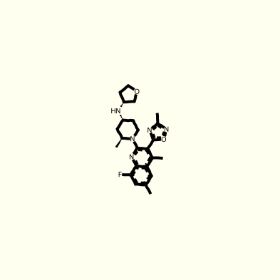 Cc1cc(F)c2nc(N3CC[C@@H](N[C@@H]4CCOC4)C[C@@H]3C)c(-c3nc(C)no3)c(C)c2c1